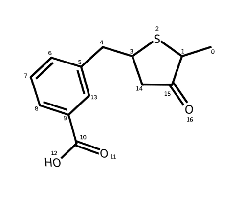 CC1SC(Cc2cccc(C(=O)O)c2)CC1=O